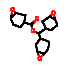 O=C(OC(C1CCC2OC2C1)C1CCC2OC2C1)C1CCC2OC2C1